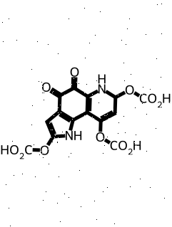 O=C(O)OC1=CC(OC(=O)O)NC2=C1c1[nH]c(OC(=O)O)cc1C(=O)C2=O